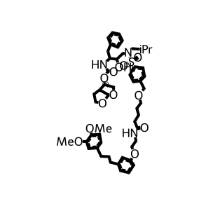 COc1ccc(CCCc2cccc(OCCNC(=O)CCCCOCc3ccc(S(=O)(=O)N(CC(C)C)CC(O)C(Cc4ccccc4)NC(=O)O[C@H]4COC5OCCC54)cc3)c2)cc1OC